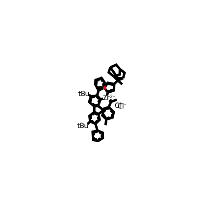 C/[C](c1ccc(C)cc1)=[Zr+2](\[C]1=CC(C2(C)C3CC4CC(C3)CC2C4)=CC1C)[c]1c2c(cc(C(C)(C)C)c1-c1ccccc1)-c1cc(C(C)(C)C)c(-c3ccccc3)cc1C2.[Cl-].[Cl-]